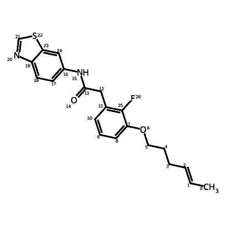 C/C=C/CCCOc1cccc(CC(=O)Nc2ccc3ncsc3c2)c1F